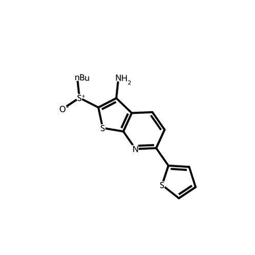 CCCC[S+]([O-])c1sc2nc(-c3cccs3)ccc2c1N